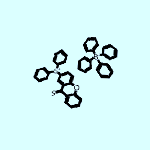 S=c1c2ccccc2oc2ccc([S+](c3ccccc3)c3ccccc3)cc12.c1ccc([B-](c2ccccc2)(c2ccccc2)c2ccccc2)cc1